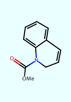 COC(=O)N1CC=Cc2ccccc21